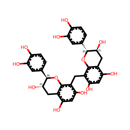 Oc1ccc([C@H]2Oc3c(Cc4c(O)cc(O)c5c4O[C@H](c4ccc(O)c(O)c4)[C@@H](O)C5)c(O)cc(O)c3C[C@@H]2O)cc1O